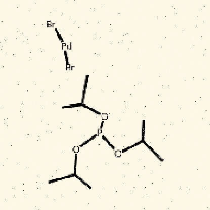 CC(C)OP(OC(C)C)OC(C)C.[Br][Pd][Br]